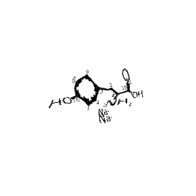 N[C@@H](Cc1ccc(O)cc1)C(=O)O.[Na].[Na]